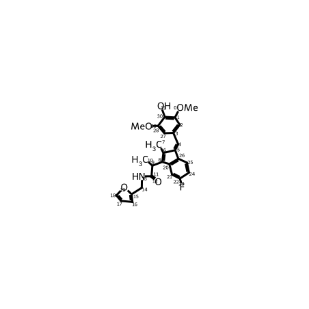 COc1cc(C=C2C(C)=C(C(C)C(=O)NCc3ccco3)c3cc(F)ccc32)cc(OC)c1O